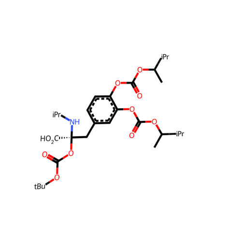 CC(C)N[C@@](Cc1ccc(OC(=O)OC(C)C(C)C)c(OC(=O)OC(C)C(C)C)c1)(OC(=O)OC(C)(C)C)C(=O)O